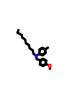 CCCCCCCCCCN(Cc1ccc(OC)cc1)c1ccc(C)cc1